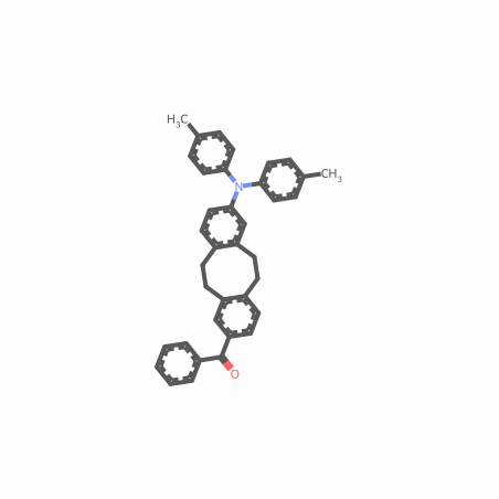 Cc1ccc(N(c2ccc(C)cc2)c2ccc3c(c2)CCc2ccc(C(=O)c4ccccc4)cc2CC3)cc1